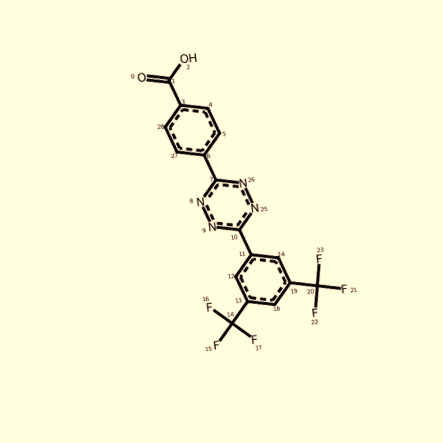 O=C(O)c1ccc(-c2nnc(-c3cc(C(F)(F)F)cc(C(F)(F)F)c3)nn2)cc1